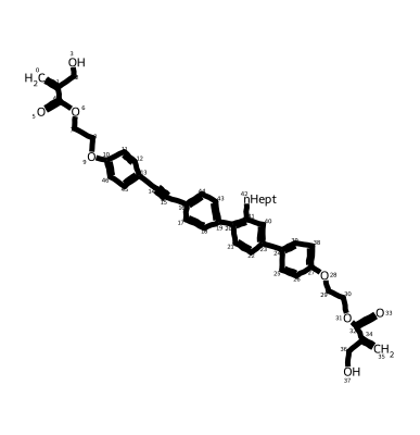 C=C(CO)C(=O)OCCOc1ccc(C#Cc2ccc(-c3ccc(-c4ccc(OCCOC(=O)C(=C)CO)cc4)cc3CCCCCCC)cc2)cc1